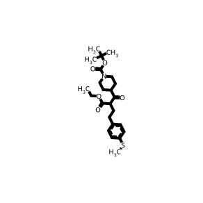 CCOC(=O)C(CCc1ccc(SC)cc1)C(=O)C1CCN(C(=O)OC(C)(C)C)CC1